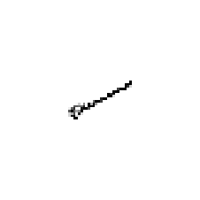 CCCCCCCCCCCCCCCCC(O)Cn1ccnc1C